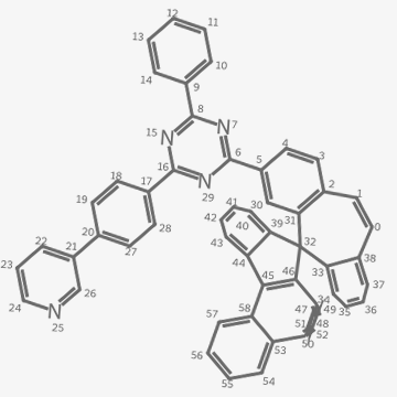 C1=Cc2ccc(-c3nc(-c4ccccc4)nc(-c4ccc(-c5cccnc5)cc4)n3)cc2C2(c3ccccc31)c1ccccc1-c1c2c2ccccc2c2ccccc12